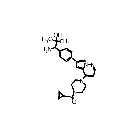 CC(C)(O)C(N)c1ccc(-c2cc3c(N4CCN(C(=O)C5CC5)CC4)ccnn3c2)cc1